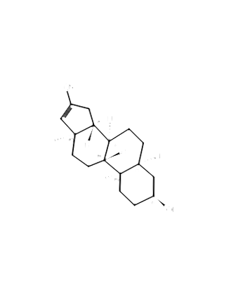 C[C@@]12CC[C@H](O)C[C@@H]1CC[C@H]1[C@H]2CC[C@@]2(C)C=C(C#N)C[C@H]12